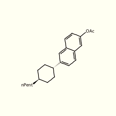 CCCCC[C@H]1CC[C@H](c2ccc3cc(OC(C)=O)ccc3c2)CC1